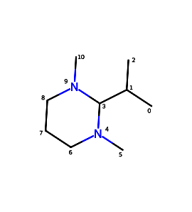 CC(C)C1N(C)CCCN1C